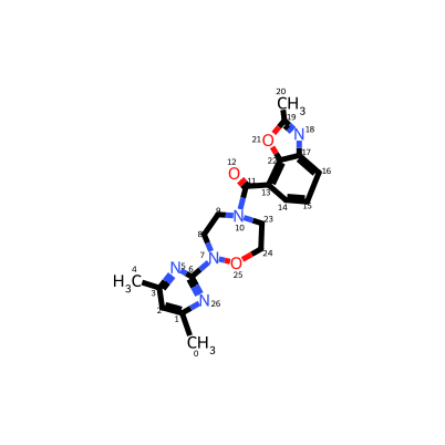 Cc1cc(C)nc(N2CCN(C(=O)c3cccc4nc(C)oc34)CCO2)n1